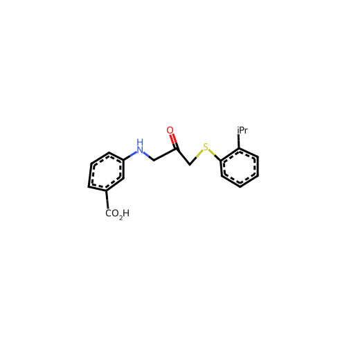 CC(C)c1ccccc1SCC(=O)CNc1cccc(C(=O)O)c1